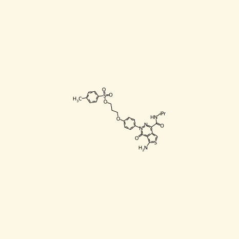 Cc1ccc(S(=O)(=O)OCCCOc2ccc(-n3nc(C(=O)NC(C)C)c4csc(N)c4c3=O)cc2)cc1